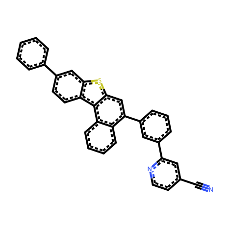 N#Cc1ccnc(-c2cccc(-c3cc4sc5cc(-c6ccccc6)ccc5c4c4ccccc34)c2)c1